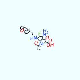 COc1ccc(CCCNc2c(F)c(N)c3c(=O)c(C(=O)O)cn4c3c2OCC42CCCC2)cc1